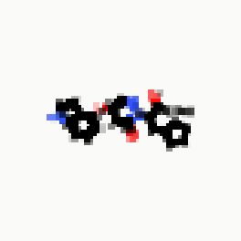 COC(=O)C(CC1CCCC1)n1ncc(Oc2cccc3[nH]ccc23)cc1=O